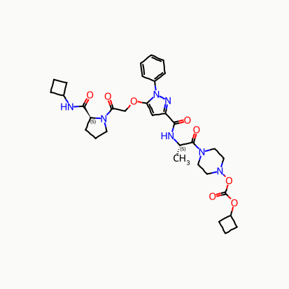 C[C@H](NC(=O)c1cc(OCC(=O)N2CCC[C@H]2C(=O)NC2CCC2)n(-c2ccccc2)n1)C(=O)N1CCN(OC(=O)OC2CCC2)CC1